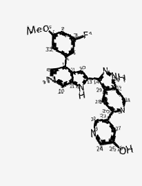 COc1cc(F)cc(-c2cncc3[nH]c(-c4n[nH]c5cnc(-c6cncc(O)c6)cc45)cc23)c1